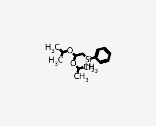 CC(C)OC(C[SiH2]c1ccccc1)OC(C)C